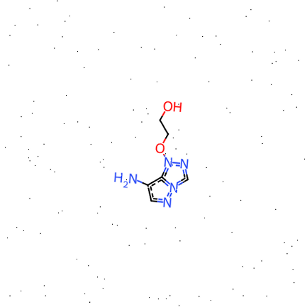 Nc1cnn2cnn(OCCO)c12